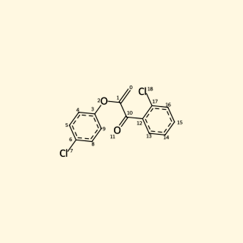 C=C(Oc1ccc(Cl)cc1)C(=O)c1ccccc1Cl